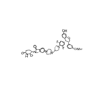 COc1cccc(C2COc3cc(O)ccc3[C@H]2c2cc(F)c(N3CCC(CN4CCN(c5ccc6c(c5)CN(C5CCC(=O)NC5=O)C6=O)CC4)CC3)c(F)c2)c1